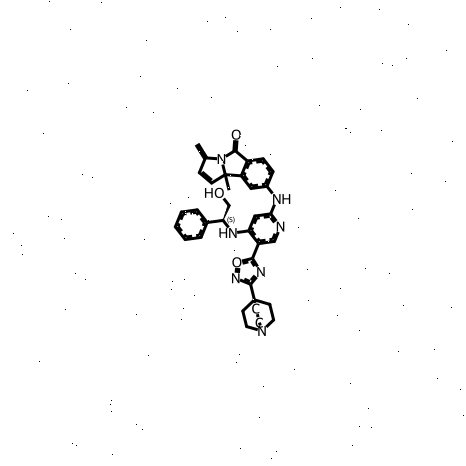 C=C1C=CC2(C)c3cc(Nc4cc(N[C@H](CO)c5ccccc5)c(-c5nc(C67CCN(CC6)CC7)no5)cn4)ccc3C(=O)N12